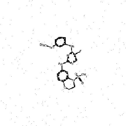 CS(=O)(=O)N1CCOc2ccc(Nc3ncc(F)c(Nc4cccc(NC=O)c4)n3)cc21